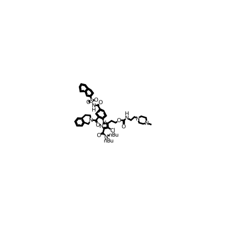 CCCCN(CCCC)C(=O)c1nn(-c2ccc(C(=O)NS(=O)(=O)c3ccc4ccccc4c3)cc2C(=O)N2CCc3ccccc3C2)c(CCOC(=O)NCCN2CCN(C)CC2)c1Cl